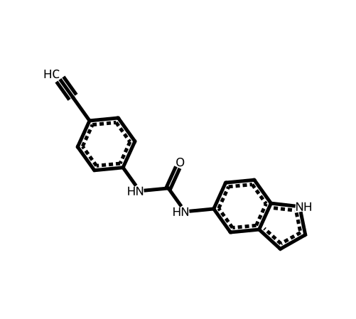 C#Cc1ccc(NC(=O)Nc2ccc3[nH]ccc3c2)cc1